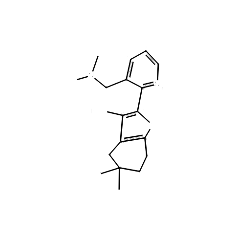 CN(C)Cc1cccnc1-c1sc2c(c1C(=O)O)CC(C)(C)CC2